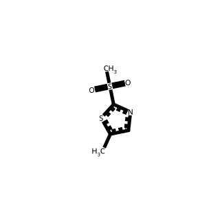 Cc1cnc(S(C)(=O)=O)s1